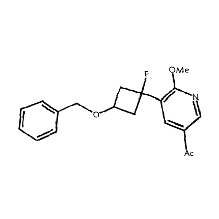 COc1ncc(C(C)=O)cc1C1(F)CC(OCc2ccccc2)C1